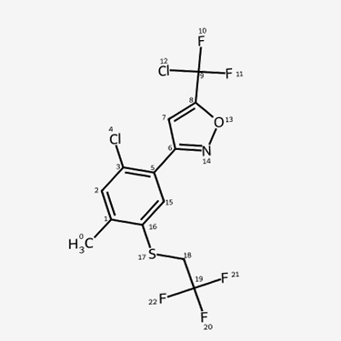 Cc1cc(Cl)c(-c2cc(C(F)(F)Cl)on2)cc1SCC(F)(F)F